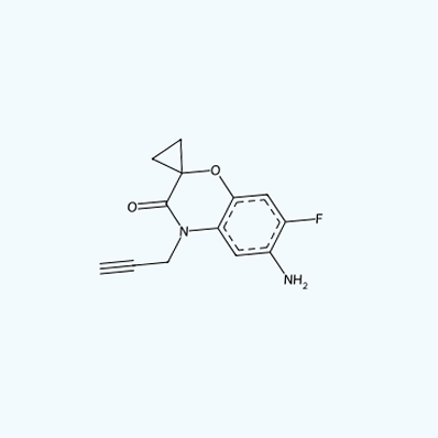 C#CCN1C(=O)C2(CC2)Oc2cc(F)c(N)cc21